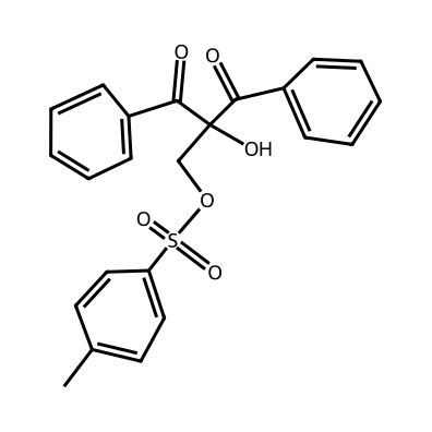 Cc1ccc(S(=O)(=O)OCC(O)(C(=O)c2ccccc2)C(=O)c2ccccc2)cc1